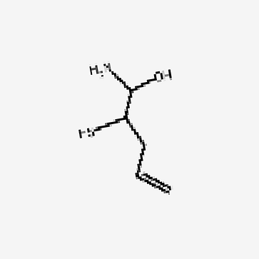 C=CCC(S)C(N)O